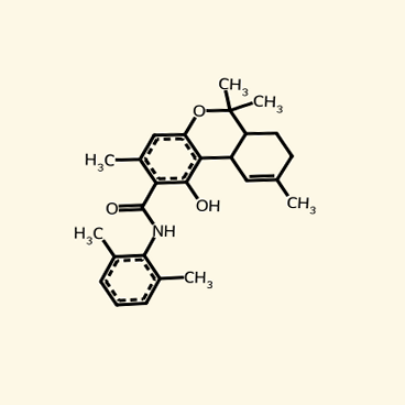 CC1=CC2c3c(cc(C)c(C(=O)Nc4c(C)cccc4C)c3O)OC(C)(C)C2CC1